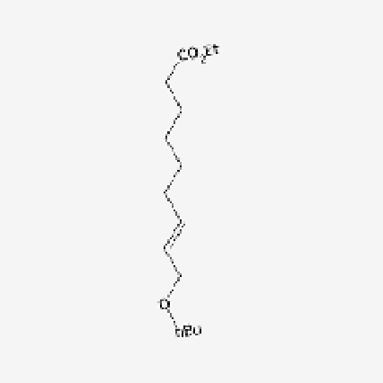 CCCCOCC=CCCCCCC(=O)OCC